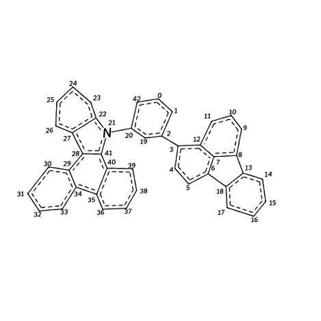 c1cc(-c2ccc3c4c(cccc24)-c2ccccc2-3)cc(-n2c3ccccc3c3c4ccccc4c4ccccc4c32)c1